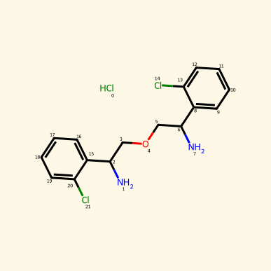 Cl.NC(COCC(N)c1ccccc1Cl)c1ccccc1Cl